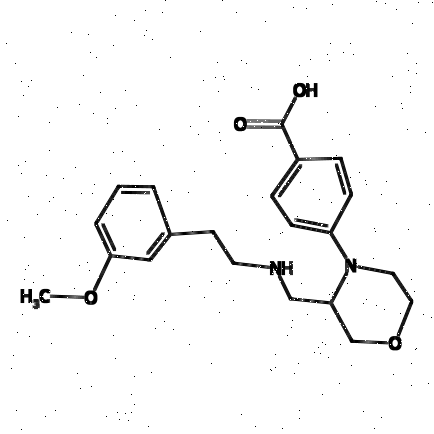 COc1cccc(CCNCC2COCCN2c2ccc(C(=O)O)cc2)c1